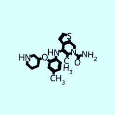 CC1=C(Nc2ccc(C)cc2OC2CCCNC2)c2ccsc2CN1C(N)=O